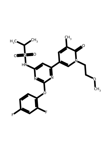 COCCn1cc(-c2cc(NS(=O)(=O)C(C)C)nc(Oc3ccc(F)cc3F)n2)cc(C)c1=O